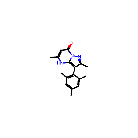 Cc1cc(C)c(-c2c(C)nn3c(=O)cc(C)[nH]c23)c(C)c1